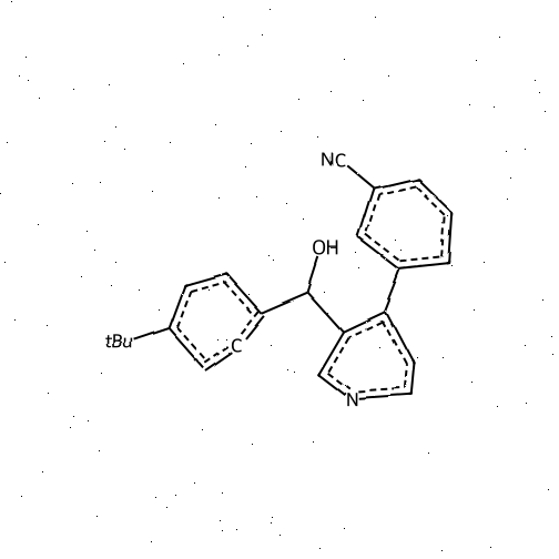 CC(C)(C)c1ccc(C(O)c2cnccc2-c2cccc(C#N)c2)cc1